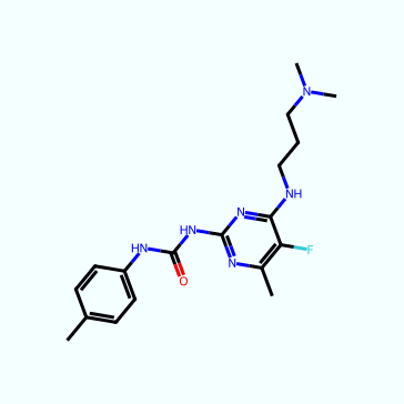 Cc1ccc(NC(=O)Nc2nc(C)c(F)c(NCCCN(C)C)n2)cc1